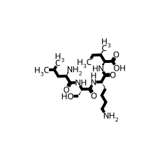 CC[C@H](C)[C@H](NC(=O)[C@H](CCCCN)NC(=O)[C@H](CO)NC(=O)[C@@H](N)CC(C)C)C(=O)O